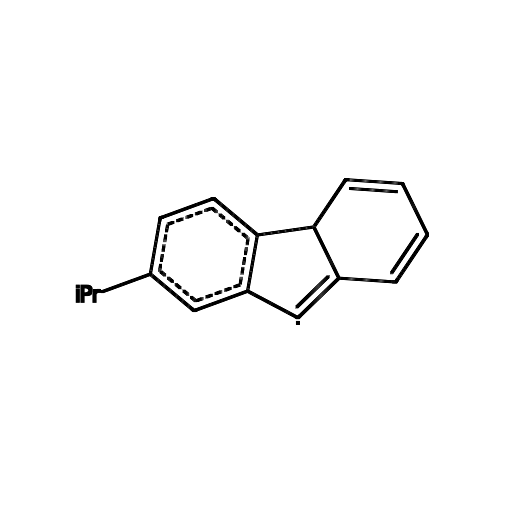 CC(C)c1ccc2c(c1)[C]=C1C=CC=CC12